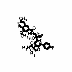 COc1cc(C(=O)NC[C@](O)(c2cc3c(c(-c4ccc(F)cc4)n2)OC[C@]3(C)C(N)=O)C(F)(F)F)cc2cc(C)nnc12